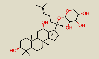 CC(C)=CCC[C@](C)(O[C@@H]1OC[C@@H](O)C(O)C1O)C1CC[C@]2(C)C1[C@H](O)CC1[C@@]3(C)CC[C@H](O)C(C)(C)C3CC[C@]12C